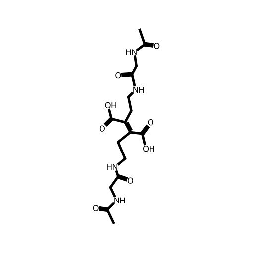 CC(=O)NCC(=O)NCC/C(C(=O)O)=C(/CCNC(=O)CNC(C)=O)C(=O)O